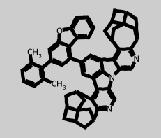 Cc1cccc(C)c1-c1cc(-c2cc3c4c5c(ncc4n4c6cnc7c(c6c(c2)c34)C2CC3CC4CC7CC43C2)C2CC3CC4CC5CC34C2)c2c(c1)oc1ccccc12